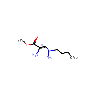 CCCOC(=O)/C(N)=C/N(N)CCCOC